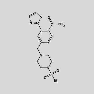 CCS(=O)(=O)N1CCN(Cc2ccc(C(N)=O)c(-c3nccs3)c2)CC1